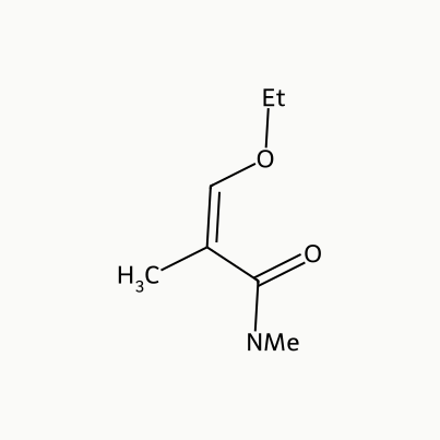 CCOC=C(C)C(=O)NC